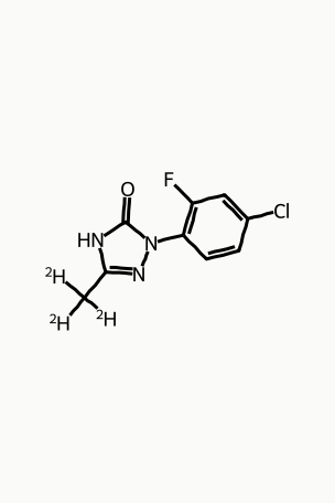 [2H]C([2H])([2H])c1nn(-c2ccc(Cl)cc2F)c(=O)[nH]1